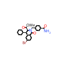 COC(=O)c1c(-c2ccccc2)c2cc(Br)ccc2c(=O)n1Cc1ccc(C(N)=O)cc1